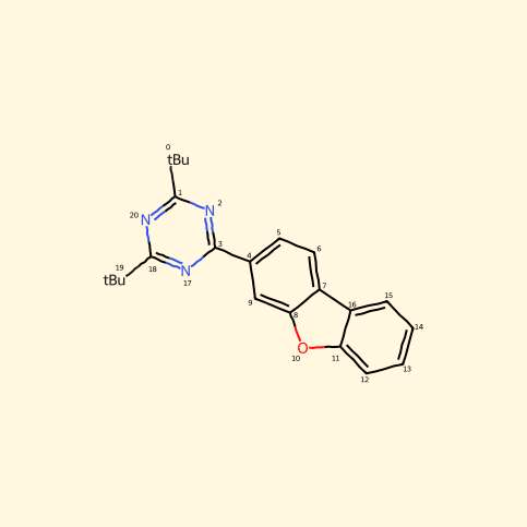 CC(C)(C)c1nc(-c2ccc3c(c2)oc2ccccc23)nc(C(C)(C)C)n1